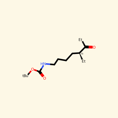 CCC(=O)[C@@H](CC)CCCCNC(=O)OC(C)(C)C